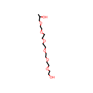 CC(O)COCCOCCOCCOCCOCCOCCO